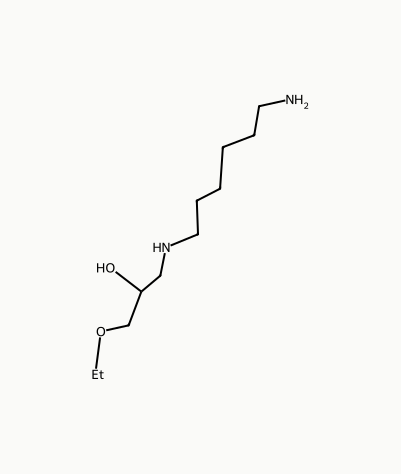 CCOCC(O)CNCCCCCCN